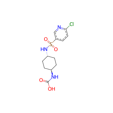 O=C(O)N[C@H]1CC[C@H](NS(=O)(=O)c2ccc(Cl)nc2)CC1